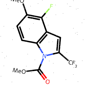 COC(=O)n1c(C(F)(F)F)cc2c(F)c(OC)ccc21